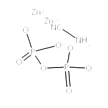 N#CN.O=P([O-])([O-])OP(=O)([O-])[O-].[Zn+2].[Zn+2]